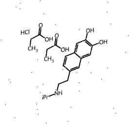 CC(C)NCCc1ccc2cc(O)c(O)cc2c1.CCC(=O)O.CCC(=O)O.Cl